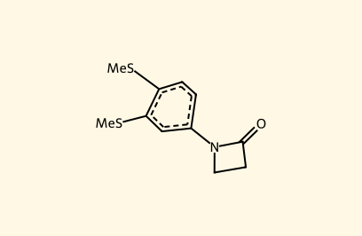 CSc1ccc(N2CCC2=O)cc1SC